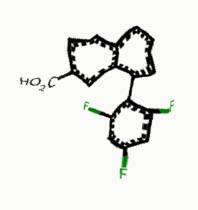 O=C(O)c1ccc2cccc(-c3c(F)cc(F)cc3F)c2c1